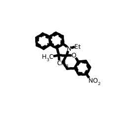 CCN1c2ccc3ccccc3c2C(C)(C)C12CCc1cc([N+](=O)[O-])ccc1O2